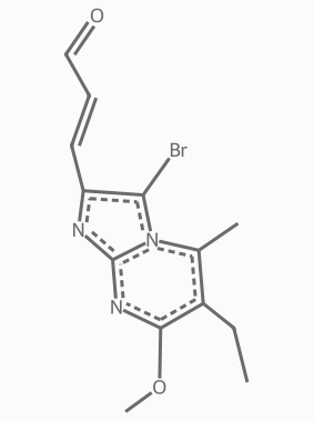 CCc1c(OC)nc2nc(C=CC=O)c(Br)n2c1C